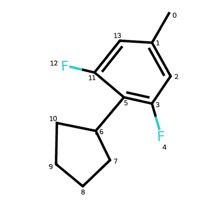 Cc1cc(F)c([C]2CCCC2)c(F)c1